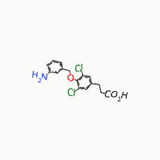 Nc1cccc(COc2c(Cl)cc(CCC(=O)O)cc2Cl)c1